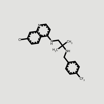 CC(C)(CNc1ccnc2cc(Cl)ccc12)NCc1ccc(C(F)(F)F)cc1